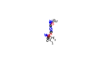 CCC(C)n1ncn(-c2ccc(N3CCN(c4ccc(OCC5CO[C@](Cn6cncn6)(c6ccc(C)cc6C)O5)cc4)CC3)cc2)c1=O